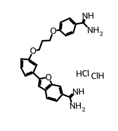 Cl.Cl.N=C(N)c1ccc(OCCCOc2cccc(-c3cc4ccc(C(=N)N)cc4o3)c2)cc1